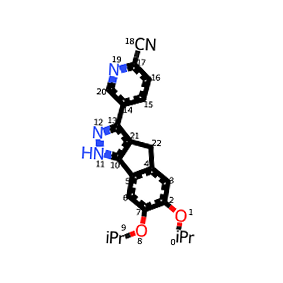 CC(C)Oc1cc2c(cc1OC(C)C)-c1[nH]nc(-c3ccc(C#N)nc3)c1C2